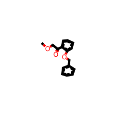 COCC(=O)c1ccccc1OCc1ccccc1